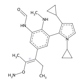 CC/C(=C(/C)ON)c1cc(NC=O)c(NC)c(-c2c(C3CC3)ccn2C2CC2)c1